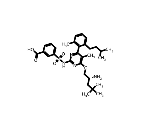 Cc1cccc(CCC(C)C)c1-c1nc(NS(=O)(=O)c2cccc(C(=O)O)c2)nc(OC[C@H](N)CC(C)(C)C)c1C